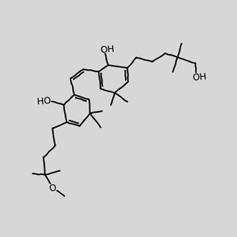 COC(C)(C)CCCC1=CC(C)(C)C=C(/C=C\C2=CC(C)(C)C=C(CCCC(C)(C)CO)C2O)C1O